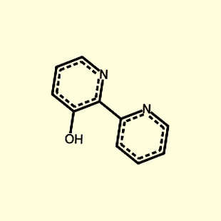 Oc1cccnc1-c1ccccn1